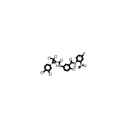 O=C(Nc1ccc(F)cc1[N+](=O)[O-])c1cc(NC(=O)[C@H]2[C@H](c3ccc(Cl)c(Cl)c3)C2(Cl)Cl)ccc1Cl